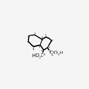 O=C(O)C1CCC2CCCCC2C1C(=O)O